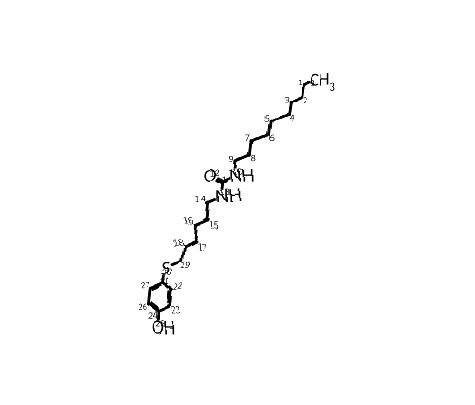 CCCCCCCCCCNC(=O)NCCCCCCSc1ccc(O)cc1